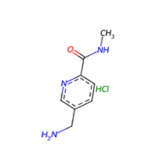 CNC(=O)c1ccc(CN)cn1.Cl